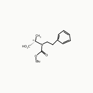 C[C@@H](C(=O)O)N(CCc1ccccc1)C(=O)OC(C)(C)C